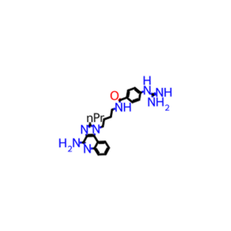 CCCc1nc2c(N)nc3ccccc3c2n1CCCCNC(=O)c1ccc(NC(=N)N)cc1